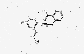 O=C(O)c1ccccc1CC#Cc1cnc(Cl)cc1C=NO